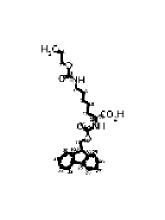 C=CCOC(=O)NCCCCC[C@H](NC(=O)OCC1c2ccccc2-c2ccccc21)C(=O)O